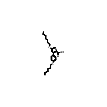 CCCCCCCOc1cnc(C(=O)O)c(-c2ccc(OCCCCCC)cc2)c1